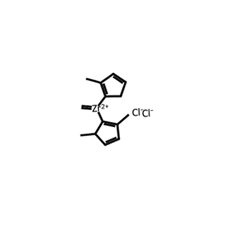 [CH2]=[Zr+2]([C]1=C(C)C=CC1)[C]1=C(C)C=CC1C.[Cl-].[Cl-]